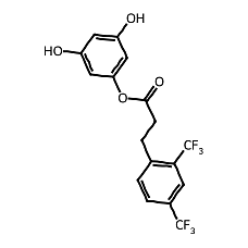 O=C(CCc1ccc(C(F)(F)F)cc1C(F)(F)F)Oc1cc(O)cc(O)c1